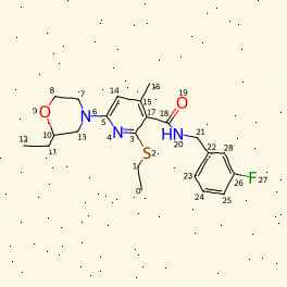 CCSc1nc(N2CCOC(CC)C2)cc(C)c1C(=O)NCc1cccc(F)c1